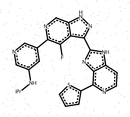 CC(C)Nc1cncc(-c2ncc3[nH]nc(-c4nc5c(-c6cccs6)nccc5[nH]4)c3c2F)c1